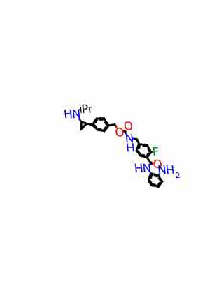 CC(C)NC1CC1c1ccc(COC(=O)NCc2ccc(C(=O)Nc3ccccc3N)c(F)c2)cc1